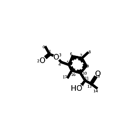 CC(=O)OCc1cc(C)cc(C(O)C(C)=O)c1C